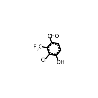 O=Cc1ccc(O)c(Cl)c1C(F)(F)F